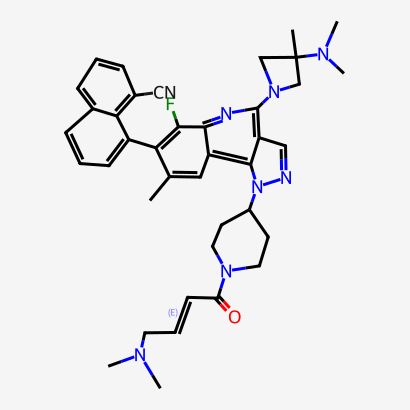 Cc1cc2c(nc(N3CC(C)(N(C)C)C3)c3cnn(C4CCN(C(=O)/C=C/CN(C)C)CC4)c32)c(F)c1-c1cccc2cccc(C#N)c12